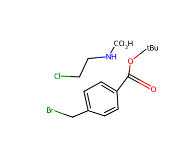 CC(C)(C)OC(=O)c1ccc(CBr)cc1.O=C(O)NCCCl